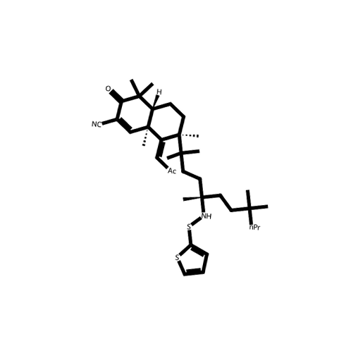 CCCC(C)(C)CC[C@@](C)(CCC(C)(C)[C@]1(C)CC[C@H]2C(C)(C)C(=O)C(C#N)=C[C@]2(C)/C1=C/C(C)=O)NSc1cccs1